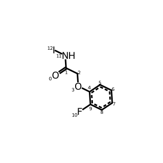 O=C(COc1ccccc1F)NI